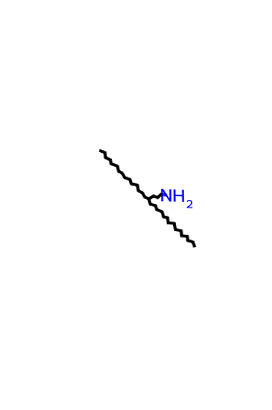 CCCCCCCCCCCCCCCC(CCCN)CCCCCCCCCCCCCCC